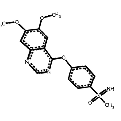 COc1cc2ncnc(Oc3ccc(S(C)(=N)=O)cc3)c2cc1OC